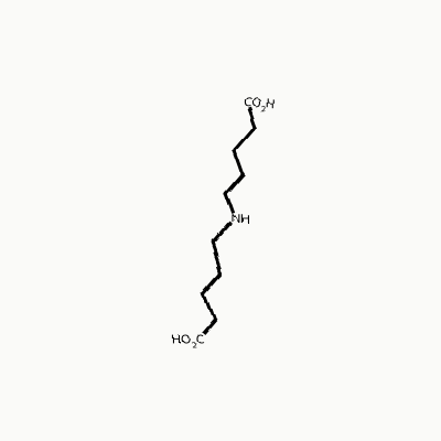 O=C(O)CCCCNCCCCC(=O)O